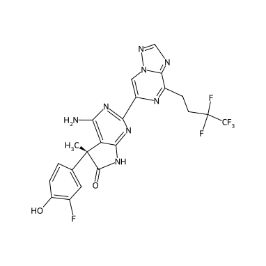 C[C@]1(c2ccc(O)c(F)c2)C(=O)Nc2nc(-c3cn4ncnc4c(CCC(F)(F)C(F)(F)F)n3)nc(N)c21